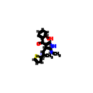 C=Nc1[nH]cc(C(=O)c2ccccc2O)c1/C=C(\C)c1cccs1